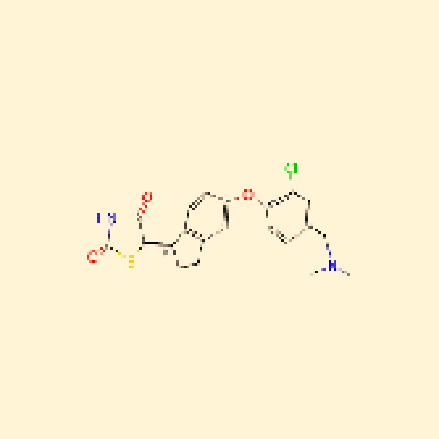 CN(C)Cc1ccc(Oc2ccc3c(c2)CC[C@H]3C2SC(=O)NC2=O)c(Cl)c1